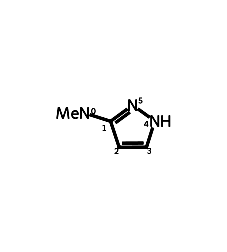 [CH2]Nc1cc[nH]n1